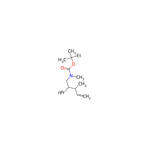 C=CC(C)C(CCC)CN(C)C(=O)OC(C)(C)CC